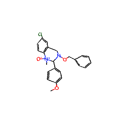 COc1ccc(C2N(OCc3ccccc3)Cc3cc(Cl)ccc3[N+]2(C)[O-])cc1